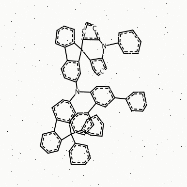 c1ccc(-c2ccc(N(c3ccc4c(c3)C(c3ccccc3)(c3ccccc3)c3ccccc3-4)c3ccc4c(c3)C3(c5ccccc5-4)c4ccccc4N(c4ccccc4)c4ccccc43)c(-c3ccccc3)c2)cc1